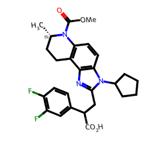 COC(=O)N1c2ccc3c(nc(CC(C(=O)O)c4ccc(F)c(F)c4)n3C3CCCC3)c2CC[C@@H]1C